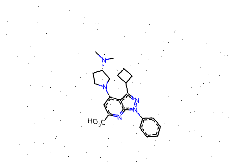 CN(C)[C@H]1CCN(c2cc(C(=O)O)nc3c2c(C2CCC2)nn3-c2ccccc2)C1